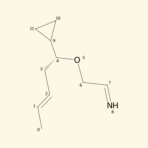 C/C=C/C[C@@H](OCC=N)C1CC1